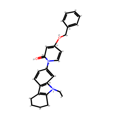 CCn1c2c(c3ccc(-n4ccc(OCc5ccccc5)cc4=O)cc31)CCCC2